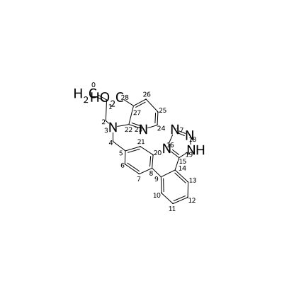 C=CCN(Cc1ccc(-c2ccccc2-c2nnn[nH]2)cc1)c1ncccc1C(=O)O